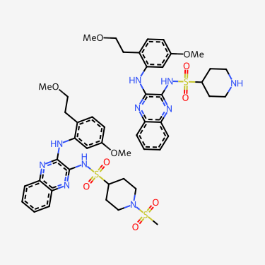 COCCc1ccc(OC)cc1Nc1nc2ccccc2nc1NS(=O)(=O)C1CCN(S(C)(=O)=O)CC1.COCCc1ccc(OC)cc1Nc1nc2ccccc2nc1NS(=O)(=O)C1CCNCC1